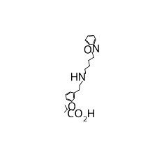 CC(C)(Oc1cccc(CCCNCCCCCc2nc3ccccc3o2)c1)C(=O)O